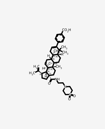 C=C(C)[C@@H]1CC[C@]2(C(=O)NCCN3CCS(=O)(=O)CC3)CC[C@]3(C)[C@H](CC[C@@H]4[C@@]5(C)CC=C(c6ccc(C(=O)O)cc6)C(C)(C)[C@@H]5CC[C@]43C)[C@@H]12